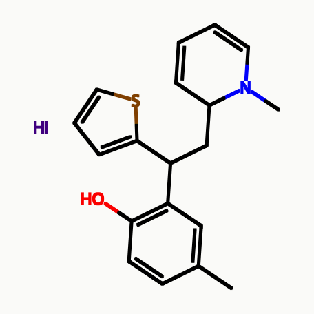 Cc1ccc(O)c(C(CC2C=CC=CN2C)c2cccs2)c1.I